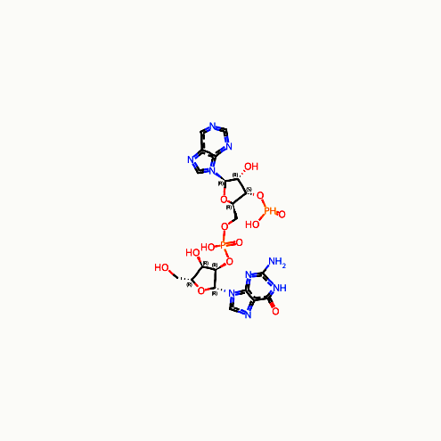 Nc1nc2c(ncn2[C@@H]2O[C@H](CO)[C@@H](O)[C@H]2OP(=O)(O)OC[C@H]2O[C@@H](n3cnc4cncnc43)[C@H](O)[C@@H]2O[PH](=O)O)c(=O)[nH]1